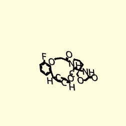 O=C1COC[C@@]2(CCCN3C(=O)CCOc4c(F)cccc4[C@H]4CC[C@H](CC4)OC[C@H]32)N1